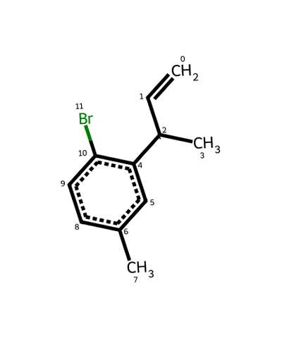 C=C[C](C)c1cc(C)ccc1Br